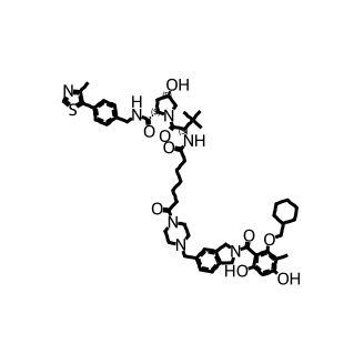 Cc1ncsc1-c1ccc(CNC(=O)[C@@H]2C[C@@H](O)CN2C(=O)[C@@H](NC(=O)CCCCCC(=O)N2CCN(Cc3ccc4c(c3)CN(C(=O)c3c(O)cc(O)c(C)c3OCC3CCCCC3)C4)CC2)C(C)(C)C)cc1